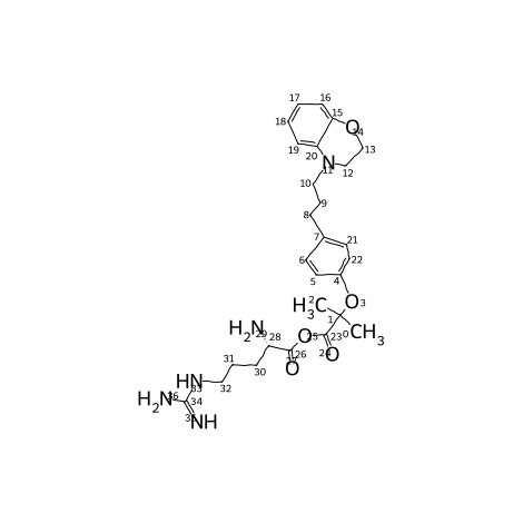 CC(C)(Oc1ccc(CCCN2CCOc3ccccc32)cc1)C(=O)OC(=O)[C@@H](N)CCCNC(=N)N